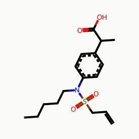 C=CCS(=O)(=O)N(CCCCC)c1ccc(C(C)C(=O)O)cc1